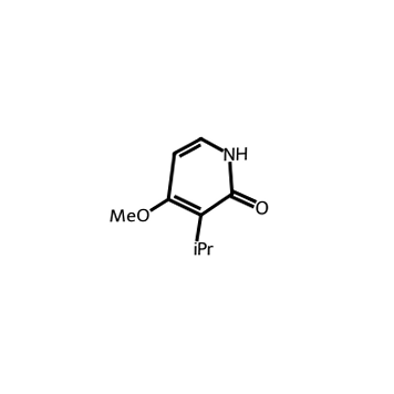 COc1cc[nH]c(=O)c1C(C)C